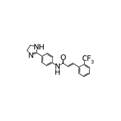 O=C(/C=C/c1ccccc1C(F)(F)F)Nc1ccc(C2=NCCN2)cc1